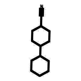 N#CC1CCC(C2CCCCC2)CC1